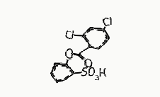 O=C(Oc1ccccc1S(=O)(=O)O)c1ccc(Cl)cc1Cl